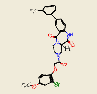 O=C1Nc2ccc(-c3cccc(C(F)(F)F)c3)cc2C(=O)N2CCN(C(=O)COc3ccc(OC(F)(F)F)cc3Br)C[C@H]12